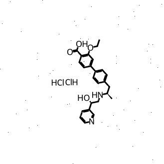 CCOc1cc(-c2ccc(C[C@@H](C)NC[C@H](O)c3cccnc3)cc2)ccc1C(=O)O.Cl.Cl